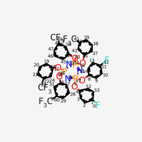 Fc1ccc(OP2(Oc3ccc(F)cc3)=NP(Oc3cccc(C(F)(F)F)c3)(Oc3cccc(C(F)(F)F)c3)=NP(Oc3cccc(C(F)(F)F)c3)(Oc3cccc(C(F)(F)F)c3)=N2)cc1